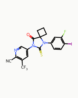 N#Cc1ncc(N2C(=O)C3(CCC3)N(c3ccc(I)c(F)c3)C2=S)cc1C(F)(F)F